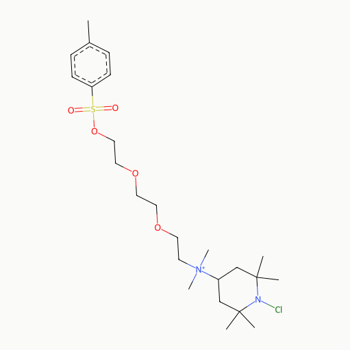 Cc1ccc(S(=O)(=O)OCCOCCOCC[N+](C)(C)C2CC(C)(C)N(Cl)C(C)(C)C2)cc1